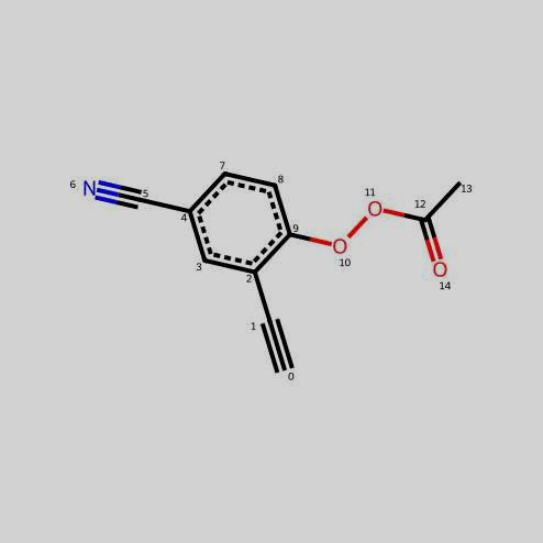 C#Cc1cc(C#N)ccc1OOC(C)=O